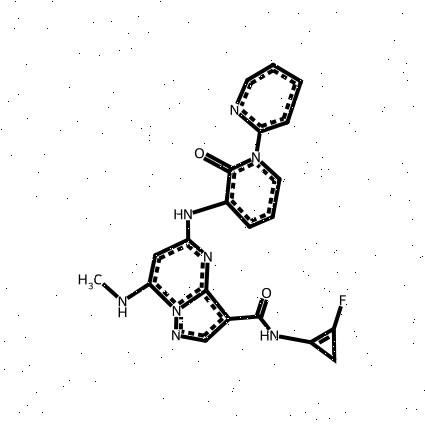 CNc1cc(Nc2cccn(-c3ccccn3)c2=O)nc2c(C(=O)NC3=C(F)C3)cnn12